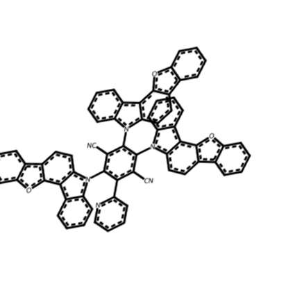 N#Cc1c(-c2ccccn2)c(-n2c3ccccc3c3c4oc5ccccc5c4ccc32)c(C#N)c(-n2c3ccccc3c3c4oc5ccccc5c4ccc32)c1-n1c2ccccc2c2c3oc4ccccc4c3ccc21